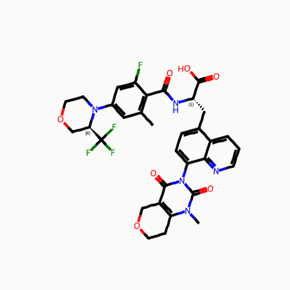 Cc1cc(N2CCOC[C@@H]2C(F)(F)F)cc(F)c1C(=O)N[C@@H](Cc1ccc(-n2c(=O)c3c(n(C)c2=O)CCOC3)c2ncccc12)C(=O)O